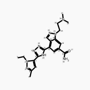 CCn1nc(C)cc1-c1nnc(-c2cc(C(N)=O)cc3c2cnn3CCN(C)C)[nH]1